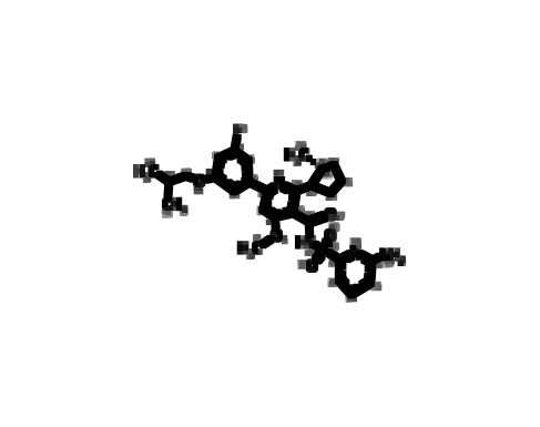 COc1cc(-c2cc(F)cc(OCC(C)C)c2)nc(C2CCC[C@H]2C)c1C(=O)NS(=O)(=O)c1cccc(N)n1